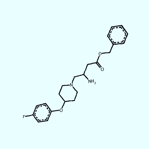 NC(CC(=O)OCc1ccccc1)CN1CCC(Oc2ccc(F)cc2)CC1